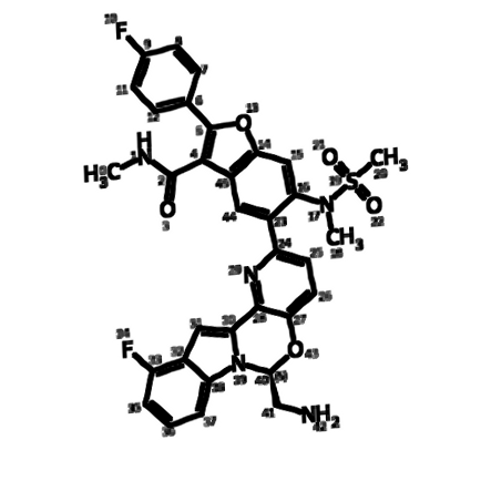 CNC(=O)c1c(-c2ccc(F)cc2)oc2cc(N(C)S(C)(=O)=O)c(-c3ccc4c(n3)-c3cc5c(F)cccc5n3[C@H](CN)O4)cc12